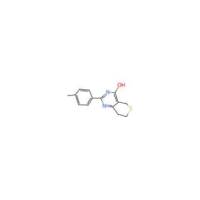 Cc1ccc(-c2nc(O)c3c(n2)CCSC3)cc1